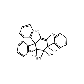 CCCC1(c2ccccc2)C(C(C)C)=C(C(C)C)C(c2ccccc2)(c2ccccc2)C(CCC)(CCC)C1(CCC)CCC